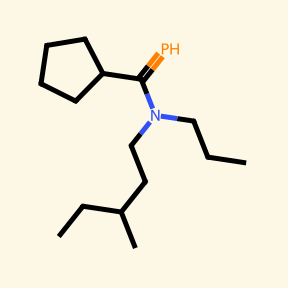 CCCN(CCC(C)CC)C(=P)C1CCCC1